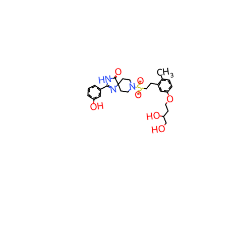 Cc1ccc(OCCC(O)CO)cc1CCS(=O)(=O)N1CCC2(CC1)N=C(c1cccc(O)c1)NC2=O